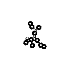 c1ccc(-c2c3c(cc4c2c2cc(-c5ccc6ccccc6c5)ccc2n4-c2ccc(N(c4ccccc4)c4ccc5ccccc5c4)cc2)oc2ccccc23)cc1